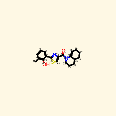 Cc1cccc(-c2nc(C(=O)N3CCCC4CCCC=C43)cs2)c1O